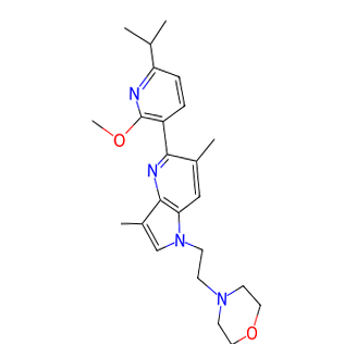 COc1nc(C(C)C)ccc1-c1nc2c(C)cn(CCN3CCOCC3)c2cc1C